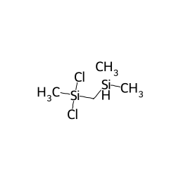 C[SiH](C)C[Si](C)(Cl)Cl